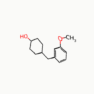 COc1cccc(CC2CCC(O)CC2)c1